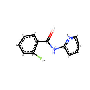 O=C(Nc1ccccn1)c1ccccc1F